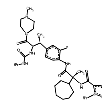 CC(C)NC(=O)N[C@@H](C(=O)N1CCN(C)CC1)[C@@H](C)c1ccc(NC(=O)[C@](C)(NC(=O)c2ccnn2C(C)C)C2CCCCCC2)c(F)c1